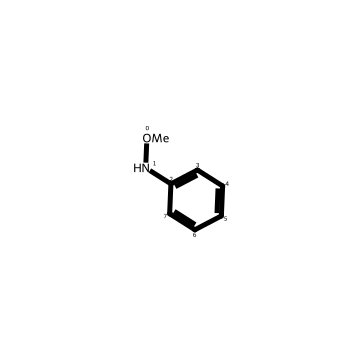 CONc1ccccc1